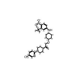 O=[N+]([O-])c1ccc(N[C@H]2CC[C@H](OCC(=S)N3CCN(c4ccc(Cl)cn4)CC3)CC2)cc1C(F)(F)F